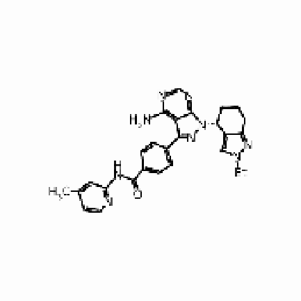 CCn1cc2c(n1)CCC[C@H]2n1nc(-c2ccc(C(=O)Nc3cc(C)ccn3)cc2)c2c(N)ncnc21